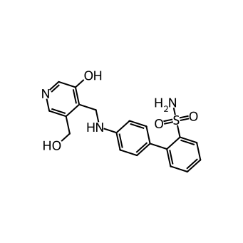 NS(=O)(=O)c1ccccc1-c1ccc(NCc2c(O)cncc2CO)cc1